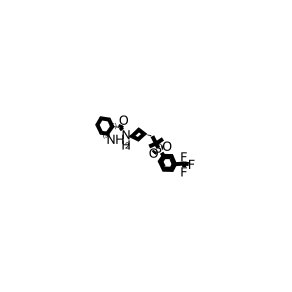 CC(C)(C[C@H]1C[C@@H](NC(=O)[C@H]2CCCC[C@@H]2N)C1)S(=O)(=O)c1cccc(C(F)(F)F)c1